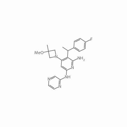 COC1(C)CN(c2cc(Nc3cnccn3)nc(N)c2C(C)c2ccc(F)cc2)C1